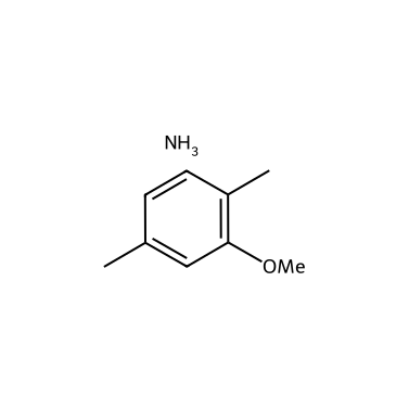 COc1cc(C)ccc1C.N